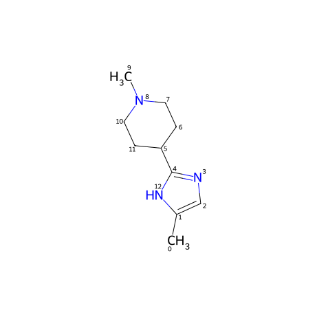 Cc1cnc(C2CCN(C)CC2)[nH]1